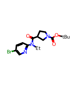 CCN(C(=O)C1CCN(C(=O)OC(C)(C)C)C1)c1ccc(Br)cn1